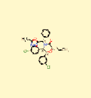 C=CC[C@@H]1O[C@@H](c2cccc(Cl)c2)[C@@H](c2ccc(Cl)cc2)N([C@@H](c2ccccc2)c2nnc(C)o2)C1=O